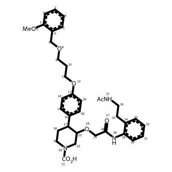 COc1ccccc1COCCCOc1ccc(C2CCN(C(=O)O)CC2OCC(=O)Nc2ccccc2CCNC(C)=O)cc1